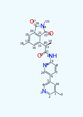 Cc1cncc(-c2ccc(NC(=O)[C@H](C)c3cc(C)cc4c3C(=O)N(C)C4=O)nc2)c1